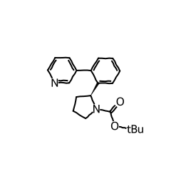 CC(C)(C)OC(=O)N1CCC[C@H]1c1ccccc1-c1cccnc1